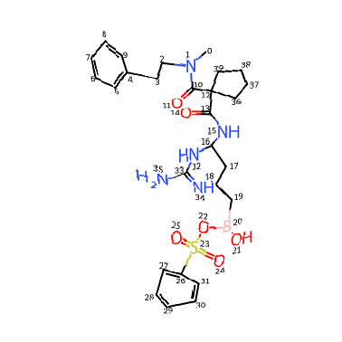 CN(CCc1ccccc1)C(=O)C1(C(=O)NC(CCCB(O)OS(=O)(=O)c2ccccc2)NC(=N)N)CCCC1